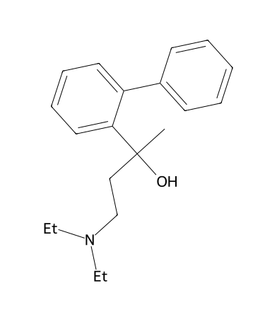 CCN(CC)CCC(C)(O)c1ccccc1-c1ccccc1